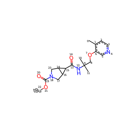 Cc1ccncc1OCC(C)(C)NC(=O)C1C2CN(C(=O)OC(C)(C)C)CC21